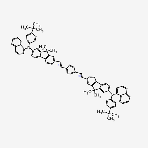 CC(C)(C)c1ccc(N(c2ccc3c(c2)C(C)(C)c2cc(/C=C/c4ccc(/C=C/c5ccc6c(c5)C(C)(C)c5cc(N(c7ccc(C(C)(C)C)cc7)c7cccc8ccccc78)ccc5-6)cc4)ccc2-3)c2cccc3ccccc23)cc1